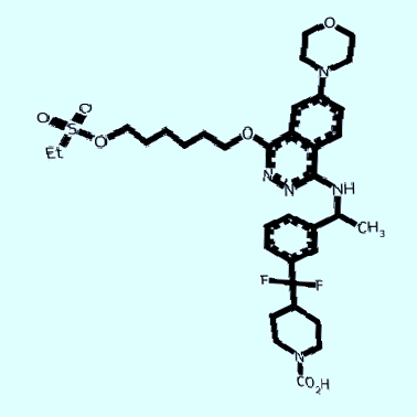 CCS(=O)(=O)OCCCCCCOc1nnc(NC(C)c2cccc(C(F)(F)C3CCN(C(=O)O)CC3)c2)c2ccc(N3CCOCC3)cc12